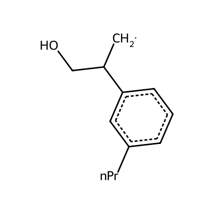 [CH2]C(CO)c1cccc(CCC)c1